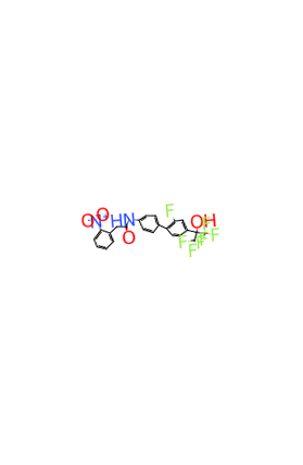 O=C(Cc1ccccc1[N+](=O)[O-])Nc1ccc(-c2ccc(C(O)(C(F)(F)F)C(F)(F)F)cc2F)cc1